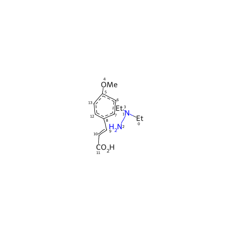 CCN(N)CC.COc1ccc(C=CC(=O)O)cc1